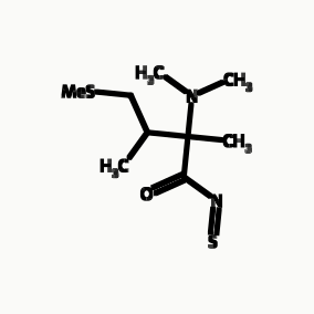 CSCC(C)C(C)(C(=O)N=S)N(C)C